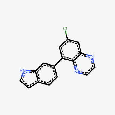 Clc1cc(-c2ccc3cc[nH]c3c2)c2nccnc2c1